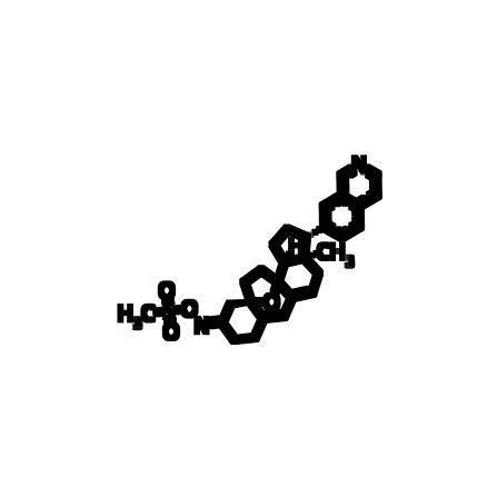 C[C@]12CC=C3C=C4CC/C(=N/OS(C)(=O)=O)C[C@]45CCC3(O5)[C@@H]1CC[C@@H]2c1ccc2ccncc2c1